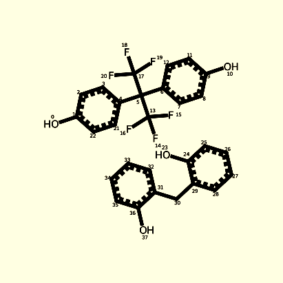 Oc1ccc(C(c2ccc(O)cc2)(C(F)(F)F)C(F)(F)F)cc1.Oc1ccccc1Cc1ccccc1O